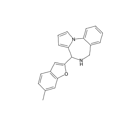 Cc1ccc2cc(C3NCc4ccccc4-n4cccc43)oc2c1